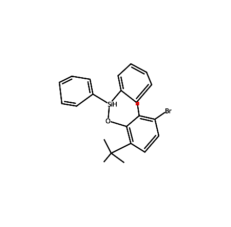 Cc1c(Br)ccc(C(C)(C)C)c1O[SiH](c1ccccc1)c1ccccc1